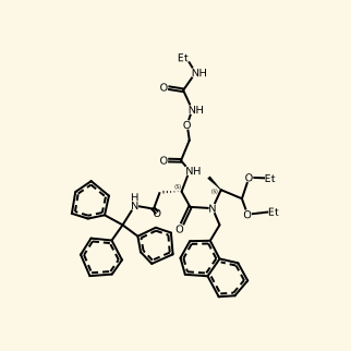 CCNC(=O)NOCC(=O)N[C@@H](CC(=O)NC(c1ccccc1)(c1ccccc1)c1ccccc1)C(=O)N(Cc1cccc2ccccc12)[C@@H](C)C(OCC)OCC